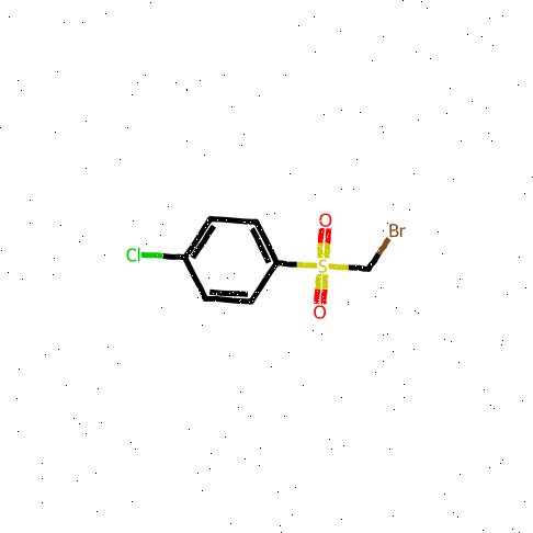 O=S(=O)(CBr)c1ccc(Cl)cc1